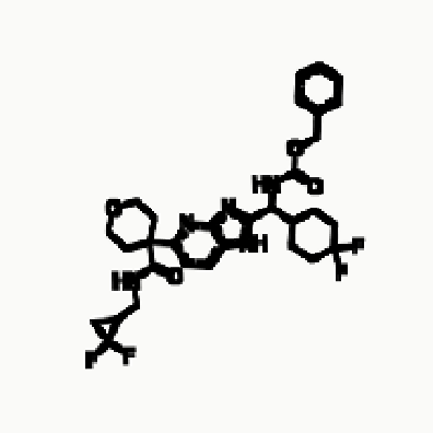 O=C(NC(c1nc2nc(C3(C(=O)NCC4CC4(F)F)CCOCC3)ccc2[nH]1)C1CCC(F)(F)CC1)OCc1ccccc1